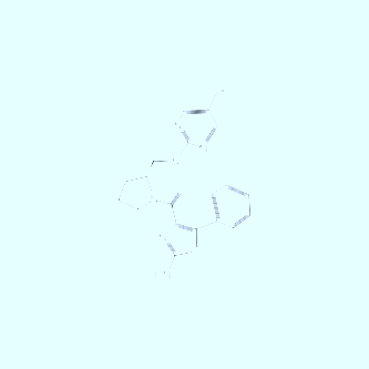 Nc1nc(C(=O)N2CCC[C@H]2CNc2ncc(Br)cn2)c(-c2ccccc2)s1